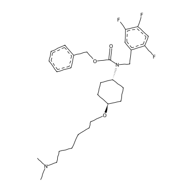 CN(C)CCCCCCO[C@H]1CC[C@H](N(Cc2cc(F)c(F)cc2F)C(=O)OCc2ccccc2)CC1